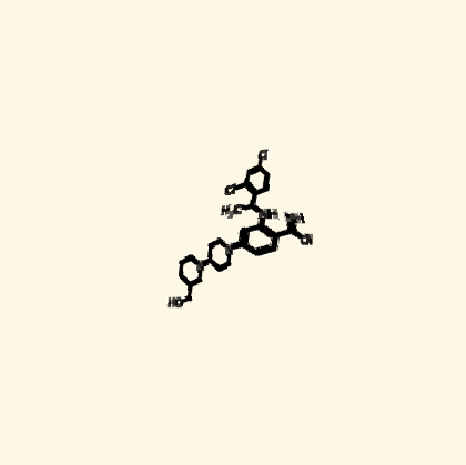 CC(Nc1cc(N2CCC(N3CCCC(CO)C3)CC2)ccc1C(=N)C#N)c1ccc(Cl)cc1Cl